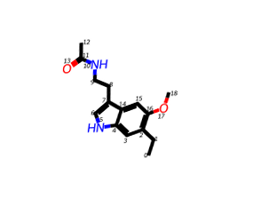 CCc1cc2[nH]cc(CCNC(C)=O)c2cc1OC